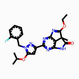 CCOC1=Nc2nc(-c3cc(OC(C)C)n(Cc4ccccc4F)n3)nc3c2C1(C)C(=O)N3